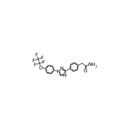 NC(=O)Cc1ccc(-c2ncn(-c3ccc(OC(F)(F)C(F)(F)F)cc3)n2)cc1